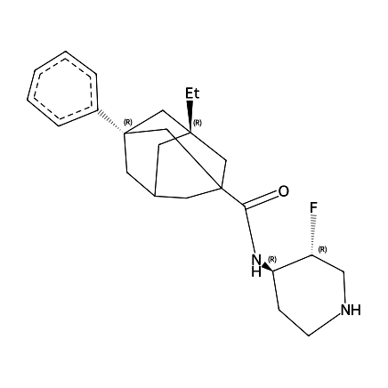 CC[C@]12CC3CC(C(=O)N[C@@H]4CCNC[C@H]4F)(C1)C[C@@](c1ccccc1)(C3)C2